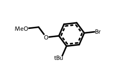 COCOc1ccc(Br)cc1C(C)(C)C